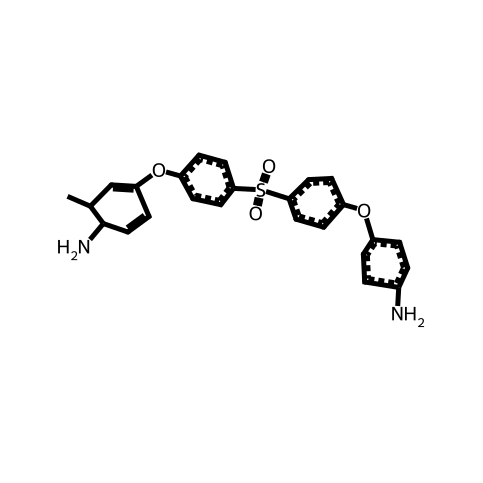 CC1C=C(Oc2ccc(S(=O)(=O)c3ccc(Oc4ccc(N)cc4)cc3)cc2)C=CC1N